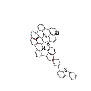 Clc1ccc2c(c1)N(c1c(-c3ccccc3)cccc1-c1ccccc1)c1cccc3c1B2c1ccc(-c2ccc(-c4cccc5c4sc4ccccc45)cc2)cc1N3c1c(-c2ccccc2)cccc1-c1ccccc1